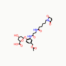 CC(=O)OCc1ccc(OC2CC(O)CC(C(=O)O)O2)c(NC(=O)CCNC(=O)CCCCCN2C(=O)C=CC2=O)c1